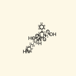 O=C(O)CN1C[C@@H](c2ccccc2)CC[C@H](N[C@@H](CCCCC2CCNCC2)C(=O)O)C1=O